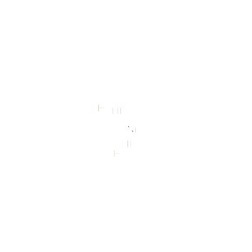 S=[PH](S)[Ni][PH](=S)S